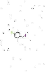 C[C@@H]1C=C(F)C=CC1CI